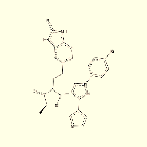 C[C@@H]1O[C@@H](c2cn(-c3ccc(Br)cc3)nc2-c2ccoc2)N(CCc2ccc3[nH]c(=O)[nH]c3c2)C1=O